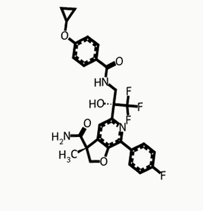 C[C@]1(C(N)=O)COc2c1cc([C@@](O)(CNC(=O)c1ccc(OC3CC3)cc1)C(F)(F)F)nc2-c1ccc(F)cc1